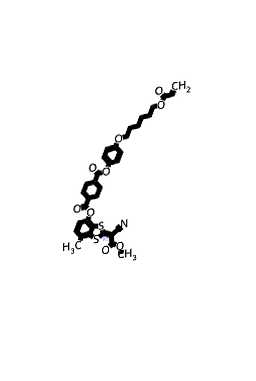 C=CC(=O)OCCCCCCOc1ccc(OC(=O)C2CCC(C(=O)Oc3ccc(C)c4c3S/C(=C(\C#N)C(=O)OC)S4)CC2)cc1